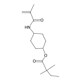 C=C(C)C(=O)NC1CCC(OC(=O)C(C)(C)CC)CC1